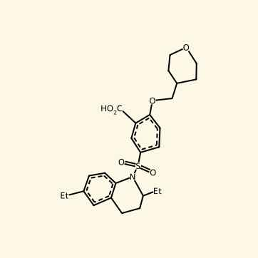 CCc1ccc2c(c1)CCC(CC)N2S(=O)(=O)c1ccc(OCC2CCOCC2)c(C(=O)O)c1